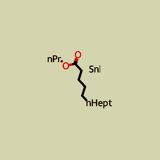 CCCCCCCCCCCC(=O)OCCC.[Sn]